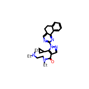 CCN(CC)CCN(CC)C(=O)c1cnn(-c2ncc3c(n2)-c2ccccc2CC3)c1C1CC1